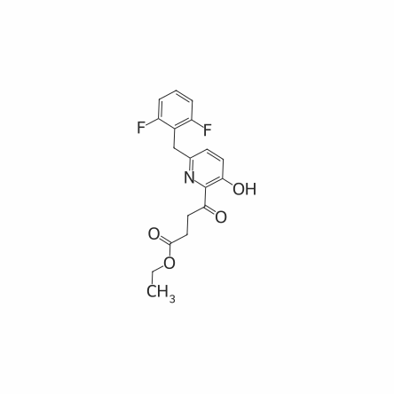 CCOC(=O)CCC(=O)c1nc(Cc2c(F)cccc2F)ccc1O